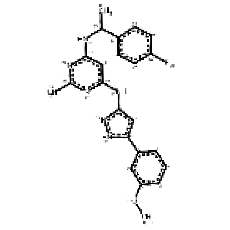 COc1cccc(-c2cc(Nc3cc(NC(C)c4ccc(F)cc4)nc(N)n3)n[nH]2)c1